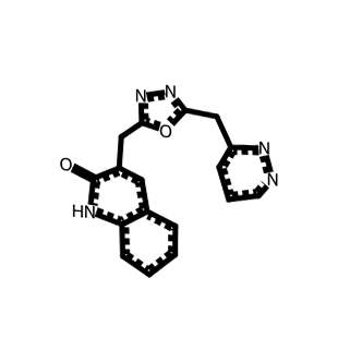 O=c1[nH]c2ccccc2cc1Cc1nnc(Cc2cccnn2)o1